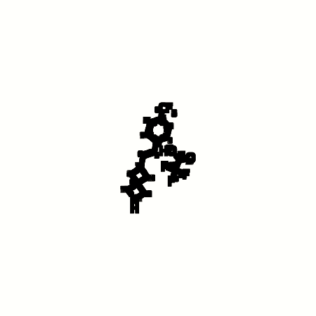 FC(F)(F)c1ccc(C=CC2CC3(CNC3)C2)cc1.O=C(O)C(F)(F)F